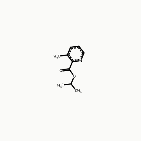 Cc1cccnc1C(=O)OC(C)C